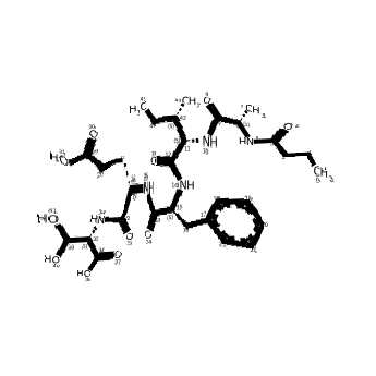 CCCC(=O)N[C@@H](C)C(=O)N[C@H](C(=O)N[C@@H](Cc1ccccc1)C(=O)N[C@@H](CCC(=O)O)C(=O)N[C@H](C(=O)O)C(O)O)[C@@H](C)CC